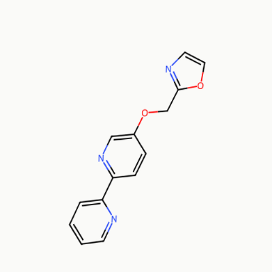 c1ccc(-c2ccc(OCc3ncco3)cn2)nc1